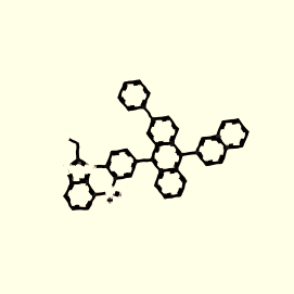 CCc1nc2cccc3c2n1-c1ccc(-c2c4ccccc4c(-c4ccc5ccccc5c4)c4ccc(-c5ccccc5)cc24)cc1S3(=O)=O